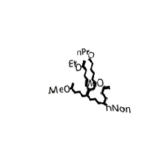 C=C(CCCC(CCCC(CCCCCCCCC)CCC(=C)OC)=C(CCCCCCCOCCC)CCCCC(=C)OCC)OC